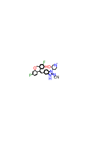 CN1CC[C@@H](n2/c(=N/C#N)[nH]c3cc(/C=C4\c5ccc(F)cc5COC5C=C(F)C=CC45)ccc32)[C@H](O)C1